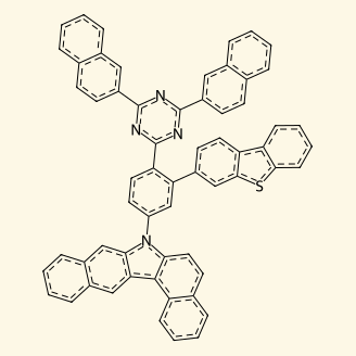 c1ccc2cc(-c3nc(-c4ccc5ccccc5c4)nc(-c4ccc(-n5c6cc7ccccc7cc6c6c7ccccc7ccc65)cc4-c4ccc5c(c4)sc4ccccc45)n3)ccc2c1